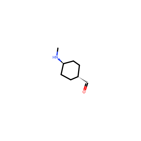 CN[C@H]1CC[C@H](C=O)CC1